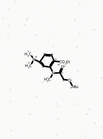 CCCCOCC(=O)N(C)c1cc(N(C)C)ccc1C(=O)OCC